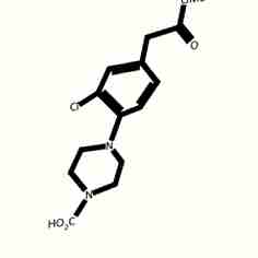 COC(=O)Cc1ccc(N2CCN(C(=O)O)CC2)c(Cl)c1